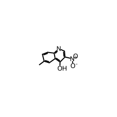 Cc1ccc2ncc([N+](=O)[O-])c(O)c2c1